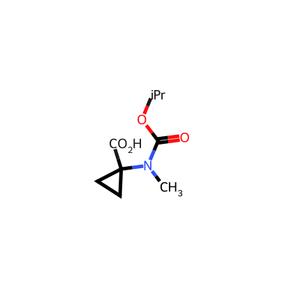 CC(C)OC(=O)N(C)C1(C(=O)O)CC1